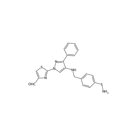 NSc1ccc(CNc2cn(-c3nc(C=O)cs3)nc2-c2ccccc2)cc1